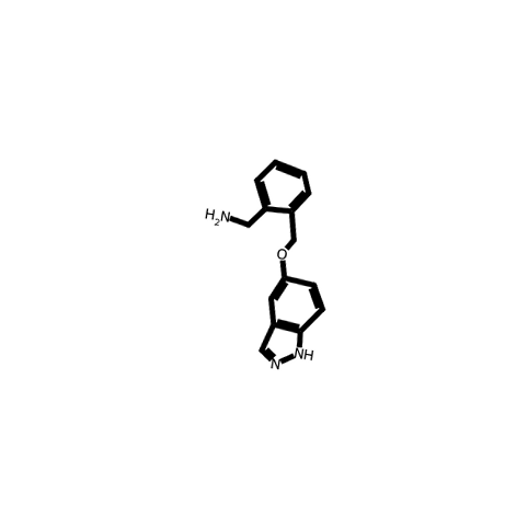 NCc1ccccc1COc1ccc2[nH]ncc2c1